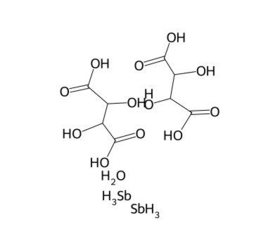 O.O=C(O)C(O)C(O)C(=O)O.O=C(O)C(O)C(O)C(=O)O.[SbH3].[SbH3]